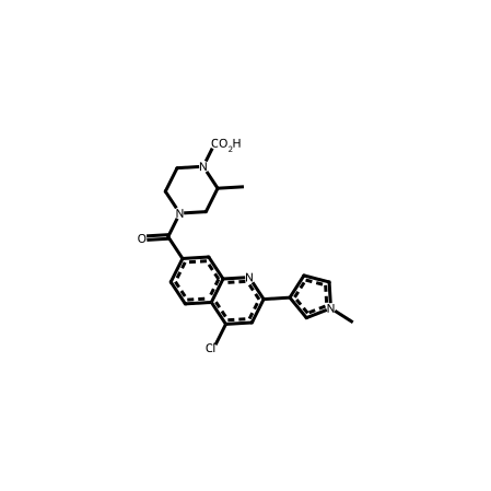 CC1CN(C(=O)c2ccc3c(Cl)cc(-c4ccn(C)c4)nc3c2)CCN1C(=O)O